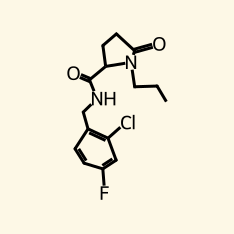 CCCN1C(=O)CCC1C(=O)NCc1ccc(F)cc1Cl